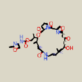 CC1=C\C(O)CC(=O)Cc2nc(co2)C(=O)N2CCCC2C(=O)OC(C(C)COC(=O)Nc2coc(C)n2)C(C)/C=C/C(=O)NC\C=C\1